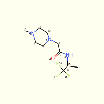 C[C@H](NC(=O)CN1CCN(C)CC1)C(F)(F)F